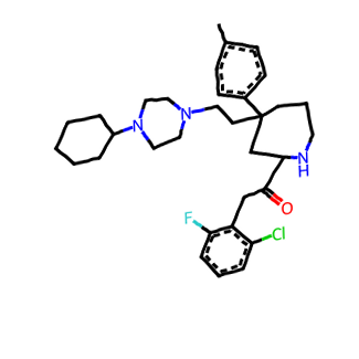 Cc1ccc(C2(CCN3CCN(C4CCCCC4)CC3)CCCNC(C(=O)Cc3c(F)cccc3Cl)C2)cc1